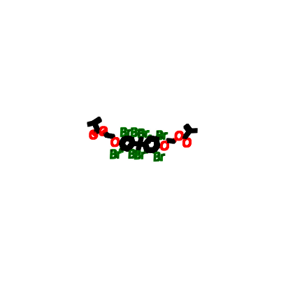 C=C(C)C(=O)OCCOc1c(Br)c(Br)c(C(C)(C)c2c(Br)c(Br)c(OCCOC(=O)C(=C)C)c(Br)c2Br)c(Br)c1Br